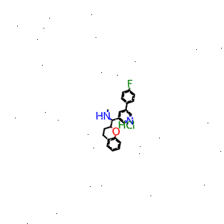 CNC(c1cncc(-c2ccc(F)cc2)c1)C1CCc2ccccc2O1.Cl